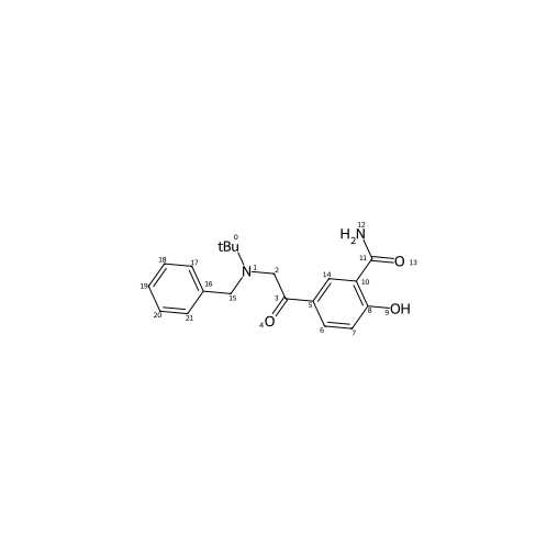 CC(C)(C)N(CC(=O)c1ccc(O)c(C(N)=O)c1)Cc1ccccc1